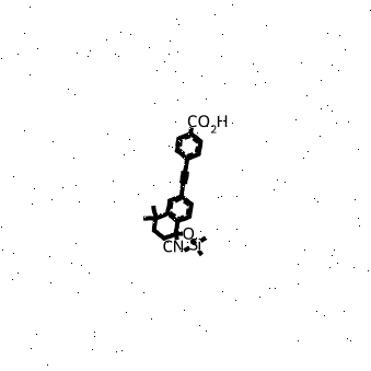 CC1(C)CCC(C#N)(O[Si](C)(C)C)c2ccc(C#Cc3ccc(C(=O)O)cc3)cc21